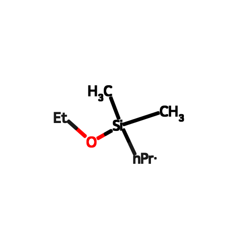 [CH2]C[CH][Si](C)(C)OCC